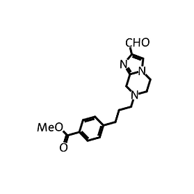 COC(=O)c1ccc(CCCN2CCn3cc(C=O)nc3C2)cc1